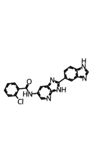 O=C(Nc1cnc2[nH]c(-c3ccc4[nH]cnc4c3)nc2c1)c1ccccc1Cl